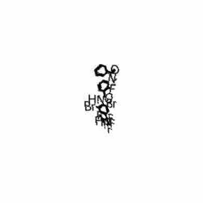 CN(C(=O)c1ccccc1)c1cccc(C(=O)Nc2c(Br)cc(C(F)(C(F)(F)F)C(F)(F)F)cc2Br)c1F